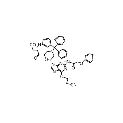 N#CCCOc1nc(NC(=O)COc2ccccc2)nc2c1ncn2[C@H]1CN(C(c2ccccc2)(c2ccccc2)c2ccccc2)C[C@@H](C(=O)CCC(=O)O)O1